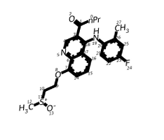 CCCC(=O)c1cnc2c(OCC[S+](C)[O-])cccc2c1Nc1ccc(F)cc1C